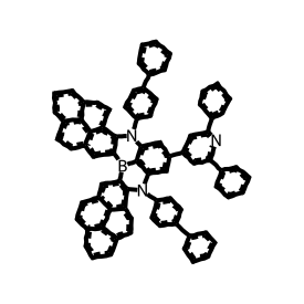 c1ccc(-c2ccc(N3c4cc(-c5cc(-c6ccccc6)nc(-c6ccccc6)c5)cc5c4B(c4cc6ccc7cccc8ccc(c43)c6c78)c3cc4ccc6cccc7ccc(c3N5c3ccc(-c5ccccc5)cc3)c4c67)cc2)cc1